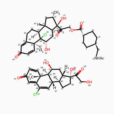 CC(=O)NC[C@H]1CC[C@H](C(=O)OCC(=O)[C@@]2(O)[C@@H](C)C[C@H]3[C@@H]4CCC5=CC(=O)C=C[C@]5(C)[C@@]4(Cl)[C@@H](O)C[C@@]32C)CC1.C[C@]12C=CC(=O)C=C1C(Cl)=C[C@@H]1[C@@H]2[C@@H](O)C[C@@]2(C)[C@H]1CC[C@]2(O)C(=O)CO